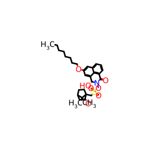 CCCCCCCCOc1cc2c3c(cccc3c1)C(=O)N(OS(=O)(=O)CC13CCC(CC1=O)C3(C)C)C2O